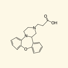 O=C(O)CCN1CCN2c3ccccc3Oc3ccccc3C2C1